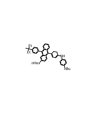 CCCCCCc1ccc2c(C3=CC=C(Nc4ccc(CCCC)cc4)CC3)c3ccccc3c(-c3ccc(C(C)(CC)CC)cc3)c2c1